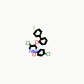 [O-][N+]1(c2ccc(Cl)cc2)CC(Oc2ccccc2-c2ccc(F)cc2)=C(Cl)C=N1